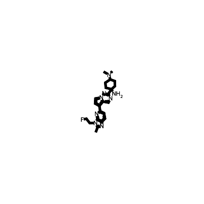 Cc1nc2ccc(-c3ccn4nc(C5(N)CCC(N(C)C)CC5)ncc34)nc2n1CCF